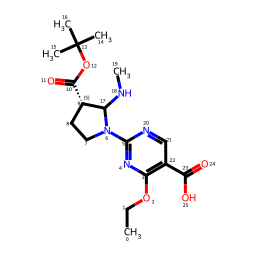 CCOc1nc(N2CC[C@H](C(=O)OC(C)(C)C)C2NC)ncc1C(=O)O